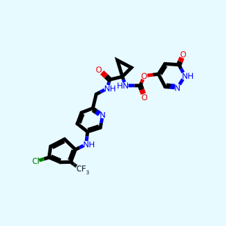 O=C(NC1(C(=O)NCc2ccc(Nc3ccc(Cl)cc3C(F)(F)F)cn2)CC1)Oc1cn[nH]c(=O)c1